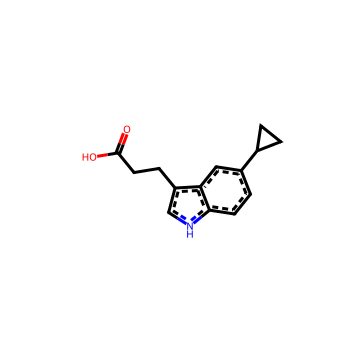 O=C(O)CCc1c[nH]c2ccc(C3CC3)cc12